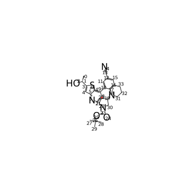 C[C@H](O)c1cc2nccc(-c3cc(C#N)cc4c3N([C@@H]3CCN(C(=O)OC(C)(C)C)C3)CCC4)c2s1